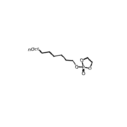 CCCCCCCCCCCCCCOP1(=O)OCCO1